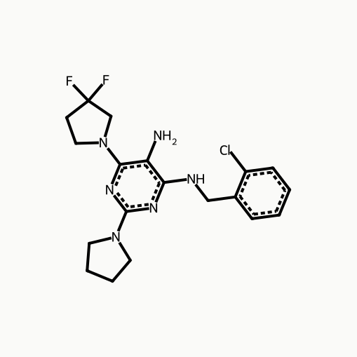 Nc1c(NCc2ccccc2Cl)nc(N2CCCC2)nc1N1CCC(F)(F)C1